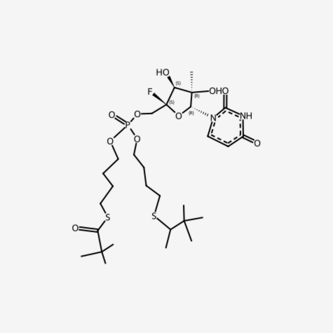 CC(SCCCCOP(=O)(OCCCCSC(=O)C(C)(C)C)OC[C@@]1(F)O[C@@H](n2ccc(=O)[nH]c2=O)[C@](C)(O)[C@@H]1O)C(C)(C)C